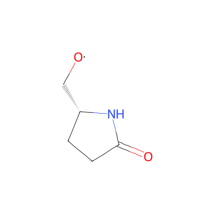 [O]C[C@H]1CCC(=O)N1